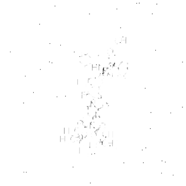 CCOC(=O)[C@H](Cc1ccccc1)NP(=O)(OC[C@H]1S[C@@H](n2ccc(N(C(=O)OC(C)(C)C)C(=O)OC(C)(C)C)nc2=O)[C@@H](F)[C@@H]1C)Oc1ccccc1